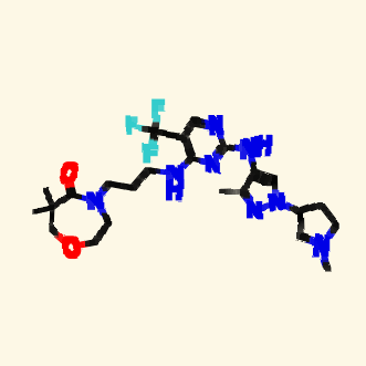 Cc1nn(C2CCN(C)C2)cc1Nc1ncc(C(F)(F)F)c(NCCCN2CCOCC(C)(C)C2=O)n1